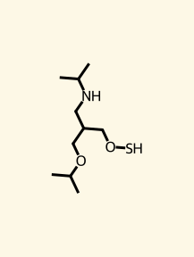 CC(C)NCC(COS)COC(C)C